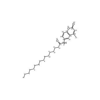 CCCCCCCCCCCCCCCC(=O)Nc1[c]cc2oc(=O)cc(C)c2c1